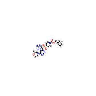 CC1CN(c2ncnc3c(S(=O)(=O)C4CCN(C(=O)OCc5ccccc5)CC4)c(N)[nH]c23)CCO1